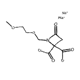 COCCOCN1C(=O)CC1(C(=O)[O-])C(=O)[O-].[Na+].[Na+]